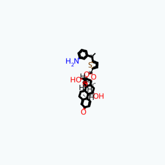 C[C@H](c1cccc(N)c1)c1ccc([C@@H]2O[C@@H]3C[C@H]4[C@@H]5CCC6=CC(=O)C=C[C@]6(C)[C@H]5[C@@H](O)C[C@]4(C)[C@]3(C(=O)CO)O2)s1